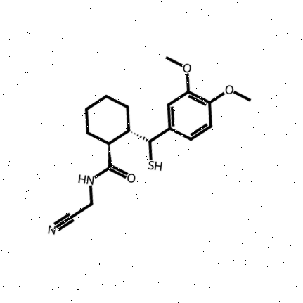 COc1ccc(C(S)[C@H]2CCCC[C@@H]2C(=O)NCC#N)cc1OC